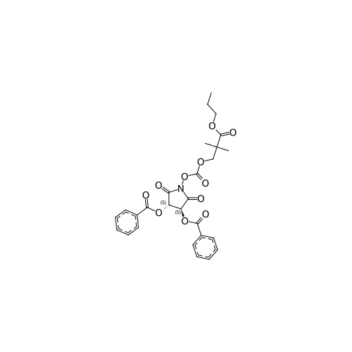 CCCOC(=O)C(C)(C)COC(=O)ON1C(=O)[C@@H](OC(=O)c2ccccc2)[C@H](OC(=O)c2ccccc2)C1=O